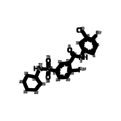 O=C(Nc1ccc(F)c(Cl)c1)c1cc(S(=O)(=O)NC2CCCCC2)ccc1F